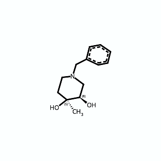 C[C@]1(O)CCN(Cc2ccccc2)C[C@H]1O